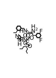 CCCC(CCC)S(=O)(=O)C[C@H](NC(=O)c1cnc[nH]1)C(=O)O[C@H](CNCc1cccc(CC)c1)[C@@H](N)Cc1cc(F)cc(F)c1